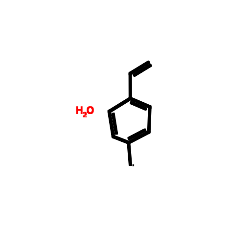 O.[CH2]c1ccc(C=C)cc1